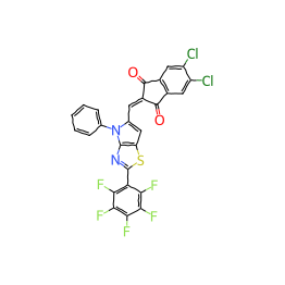 O=C1C(=Cc2cc3sc(-c4c(F)c(F)c(F)c(F)c4F)nc3n2-c2ccccc2)C(=O)c2cc(Cl)c(Cl)cc21